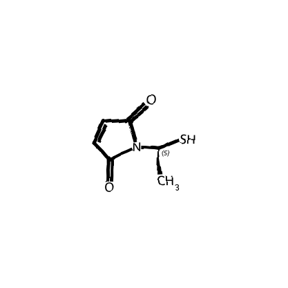 C[C@H](S)N1C(=O)C=CC1=O